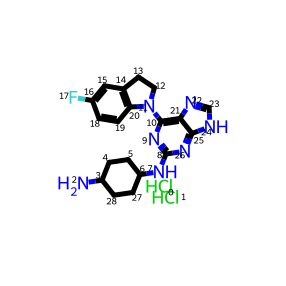 Cl.Cl.NC1CCC(Nc2nc(N3CCc4cc(F)ccc43)c3nc[nH]c3n2)CC1